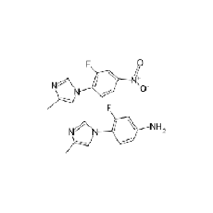 Cc1cn(-c2ccc(N)cc2F)cn1.Cc1cn(-c2ccc([N+](=O)[O-])cc2F)cn1